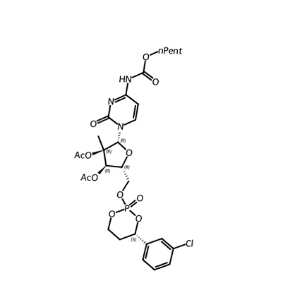 CCCCCOC(=O)Nc1ccn([C@@H]2O[C@H](COP3(=O)OCC[C@@H](c4cccc(Cl)c4)O3)[C@@H](OC(C)=O)[C@@]2(C)OC(C)=O)c(=O)n1